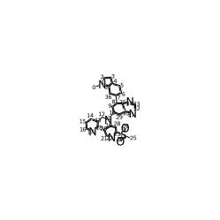 Cn1ccc2ccc(-c3cc(N(Cc4cccnc4)c4ccnc(S(C)(=O)=O)c4)cc4nccnc34)cc21